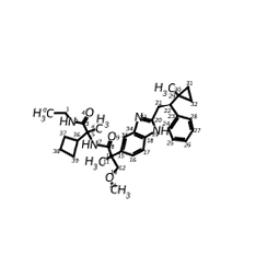 CCNC(=O)C(C)(NC(=O)C(C)(COC)c1ccc2[nH]c(C[C@H](c3ccccc3)C3(C)CC3)nc2c1)C1CCC1